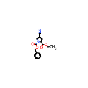 CCOC(=O)[C@@H]1CC(C#N)CN1C(=O)OCc1ccccc1